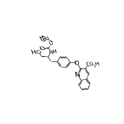 CC(C)(C)OC(=O)N[C@H](CO)Cc1ccc(Oc2nc3ccccc3cc2C(=O)O)cc1